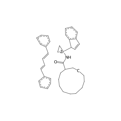 C(C=Cc1ccccc1)=Cc1ccccc1.O=C([NH][Zr]1([CH]2C=Cc3ccccc32)[CH2][CH2]1)C1CCCCCCCCCCC1